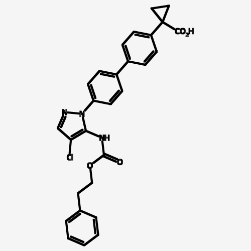 O=C(Nc1c(Cl)cnn1-c1ccc(-c2ccc(C3(C(=O)O)CC3)cc2)cc1)OCCc1ccccc1